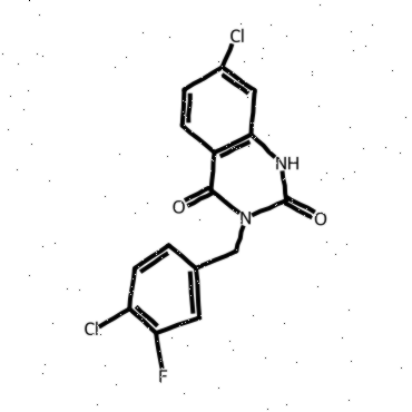 O=c1[nH]c2cc(Cl)ccc2c(=O)n1Cc1ccc(Cl)c(F)c1